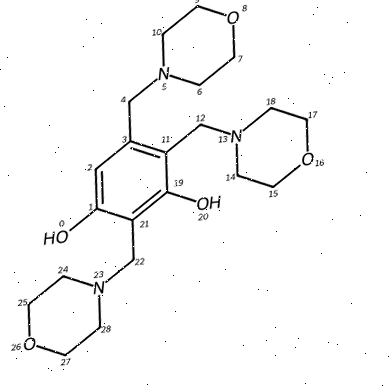 Oc1cc(CN2CCOCC2)c(CN2CCOCC2)c(O)c1CN1CCOCC1